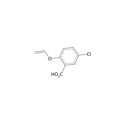 C=COc1ccc(Cl)cc1C(=O)O